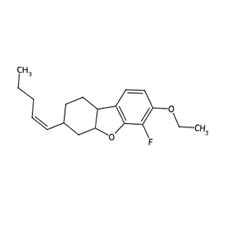 CCC/C=C\C1CCC2c3ccc(OCC)c(F)c3OC2C1